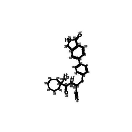 N#C[C@H](Cc1ccc(-c2ccc3c(c2)CNC3=O)cc1)NC(=O)C1(N)CCCCCC1